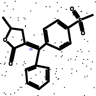 CC1C/C(=C(/c2ccccc2)c2ccc(S(C)(=O)=O)cc2)C(=O)O1